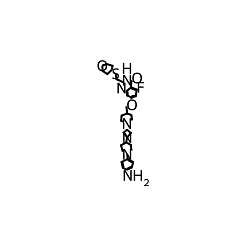 Nc1ccc(N2CCC(N3CC(N4CCC(COc5cc(F)c6c(=O)[nH]c(CSC7CCOCC7)nc6c5)CC4)C3)CC2)cc1